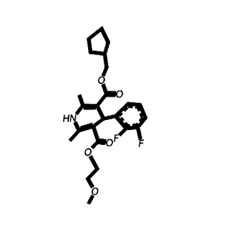 COCCOC(=O)C1=C(C)NC(C)=C(C(=O)OCC2CCCC2)C1c1cccc(F)c1F